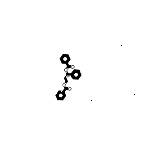 O=C(OCC[C@@H](OC(=O)c1ccccc1)c1ccccc1)c1ccccc1